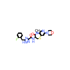 CN1C(=O)[C@@H](NC(=O)c2n[nH]c(Cc3ccccc3F)n2)CSc2cc(N3CCOCC3)ncc21